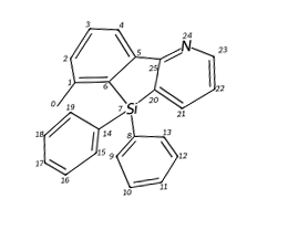 Cc1cccc2c1[Si](c1ccccc1)(c1ccccc1)c1cccnc1-2